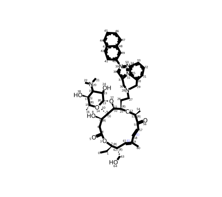 CC[C@H]1OC(=O)C[C@@H](O)[C@H](C)[C@@H](O[C@@H]2O[C@H](C)[C@@H](O)C(N(C)C)C2O)[C@@H](CCN(Cc2ccccc2)Cc2cn(-c3ccc4ccccc4c3)nn2)C[C@@H](C)C(=O)/C=C/C(C)=C/[C@@H]1CO